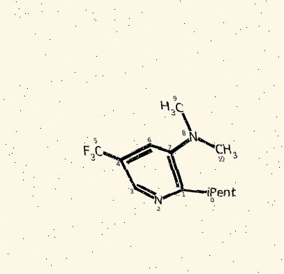 CCCC(C)c1ncc(C(F)(F)F)cc1N(C)C